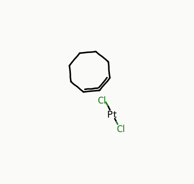 C1=CCCCCCC=1.[Cl][Pt][Cl]